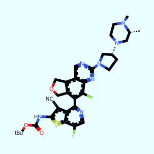 C[C@@H]1CN([C@@H]2CCN(c3ncc4c5c(c(-c6ncc(F)c7sc(NC(=O)OC(C)(C)C)c(C#N)c67)c(F)c4n3)COC5)C2)CCN1C